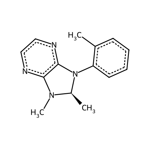 Cc1ccccc1N1c2nccnc2N(C)[C@@H]1C